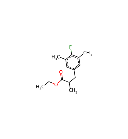 CCOC(=O)C(C)Cc1cc(C)c(F)c(C)c1